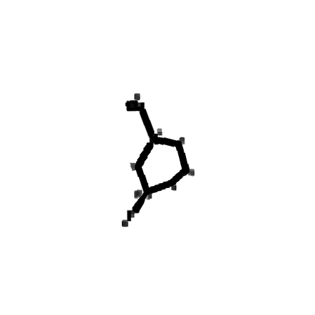 CC(C)(C)N1CCC[C@@H](F)C1